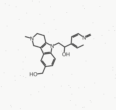 C=N/C=C\C(=C/C)C(O)Cn1c2c(c3cc(CO)ccc31)CN(C)CC2